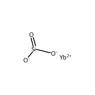 O=[Si]([O-])[O-].[Yb+2]